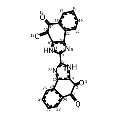 O=C1C(=O)c2[nH]c(-c3nc4c([nH]3)C(=O)C(=O)c3ccccc3-4)nc2-c2ccccc21